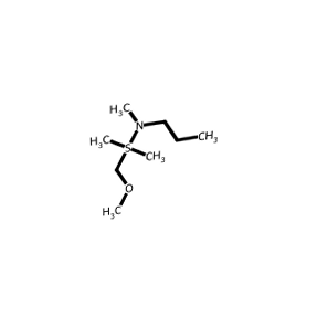 CCCN(C)S(C)(C)COC